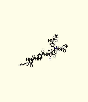 CCCCOc1c[nH]c(C(=O)Nc2ccc(C(=O)NC[C@H]3NC(=O)[C@H]3NC(=O)/C(=N\OC(C)(C)C(=O)OC(C)(C)C)c3csc(NC(=O)OC(C)(C)C)n3)cc2)cc1=O